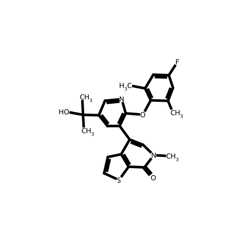 Cc1cc(F)cc(C)c1Oc1ncc(C(C)(C)O)cc1-c1cn(C)c(=O)c2sccc12